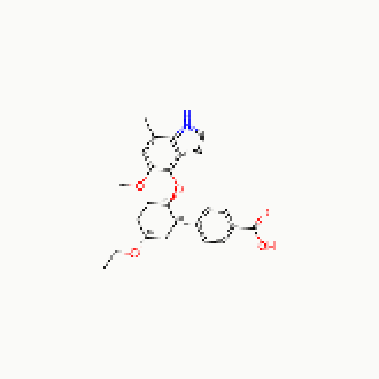 CCO[C@@H]1CC[C@@H](Oc2c(OC)cc(C)c3[nH]ccc23)[C@H](c2ccc(C(=O)O)cc2)C1